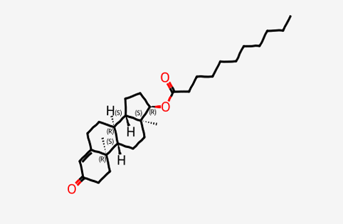 CCCCCCCCCCC(=O)O[C@@H]1CC[C@H]2[C@@H]3CCC4=CC(=O)CC[C@]4(C)[C@H]3CC[C@]12C